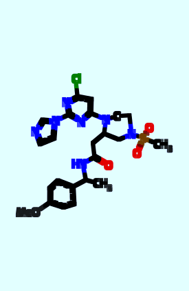 COc1ccc(C(C)NC(=O)CC2CN(S(C)(=O)=O)CCN2c2cc(Cl)nc(-n3ccnc3)n2)cc1